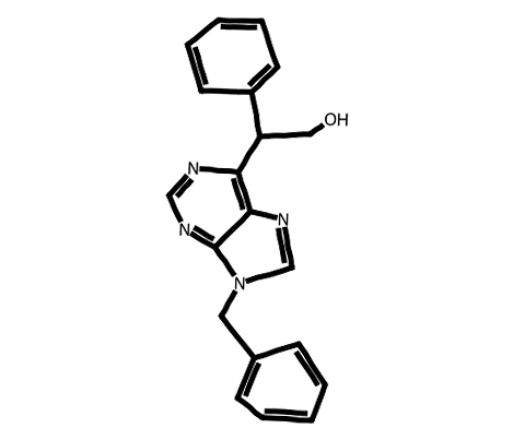 OCC(c1ccccc1)c1ncnc2c1ncn2Cc1ccccc1